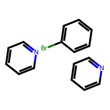 Brc1ccccc1.c1ccncc1.c1ccncc1